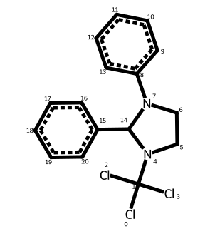 ClC(Cl)(Cl)N1CCN(c2ccccc2)C1c1ccccc1